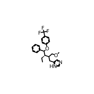 CC[C@H](C(COC)Cc1cnc[nH]1)C(Oc1ccc(C(F)(F)F)cc1)c1ccccc1